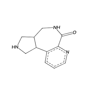 O=C1NCC2CNCC2c2cccnc21